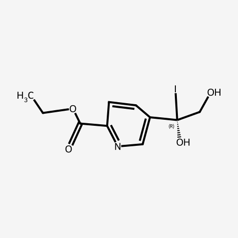 CCOC(=O)c1ccc([C@@](O)(I)CO)cn1